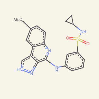 COc1ccc2nc(Nc3cccc(S(=O)(=O)NC4CC4)c3)c3n[nH]cc3c2c1